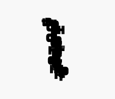 CC(C)(C)OC(=O)NCCC(=O)N1CCN(c2c(F)cc(N3C[C@H](CNC(=O)C(F)F)OC3=O)cc2F)CCO1